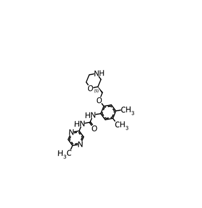 Cc1cnc(NC(=O)Nc2cc(C)c(C)cc2OC[C@@H]2CNCCO2)cn1